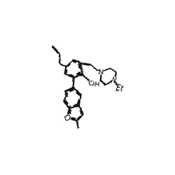 C=CCc1cc(CN2CCN(CC)CC2)c(O)c(-c2ccc3oc(C)cc3c2)c1